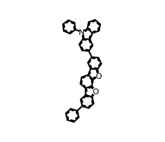 c1ccc(-c2ccc3oc4c(ccc5c6cc(-c7ccc8c(c7)c7ccccc7n8-c7ccccc7)ccc6oc54)c3c2)cc1